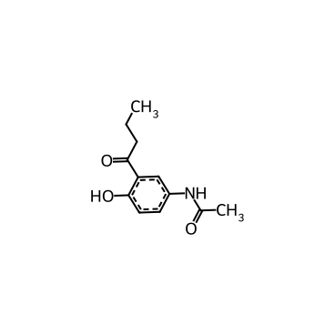 CCCC(=O)c1cc(NC(C)=O)ccc1O